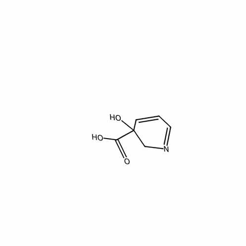 O=C(O)C1(O)C=CC=NC1